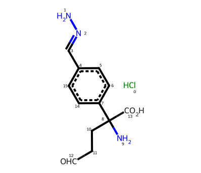 Cl.NN=Cc1ccc(C(N)(CCC=O)C(=O)O)cc1